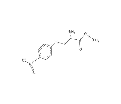 COC(=O)[C@@H](N)CSc1ccc([N+](=O)[O-])cc1